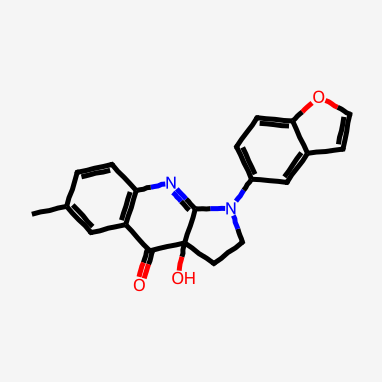 Cc1ccc2c(c1)C(=O)C1(O)CCN(c3ccc4occc4c3)C1=N2